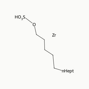 CCCCCCCCCCCCOS(=O)(=O)O.[Zr]